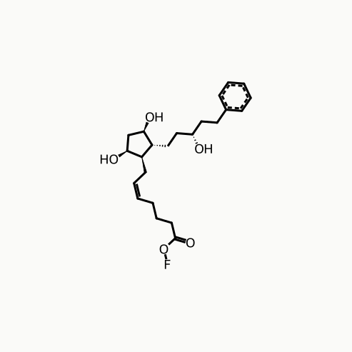 O=C(CCC/C=C\C[C@@H]1[C@@H](CC[C@@H](O)CCc2ccccc2)[C@H](O)C[C@@H]1O)OF